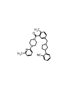 Cc1cccc(N2CCN(C(=O)c3cc(CN4CCC(c5ccccc5C#N)C4)ccc3C)CC2)n1